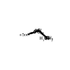 CCCCCCCCCCCCCCCCCCOCC(O)COP(=O)([O-])OCCCCCCCCCC[N+](C)(C)C